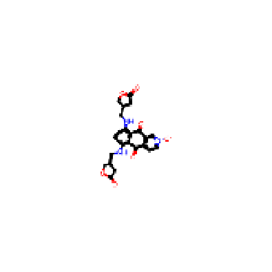 O=C1CC(CNc2ccc(NCC3COC(=O)C3)c3c2C(=O)c2cc[n+]([O-])cc2C3=O)CO1